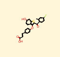 Cc1cc(F)ccc1C(=O)c1sc2cc(O)ccc2c1Oc1ccc(/C=C/C(=O)O)cc1